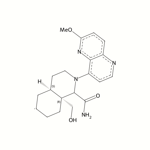 COc1ccc2nccc(N3CC[C@@H]4C[CH]CC[C@]4(CO)C3C(N)=O)c2n1